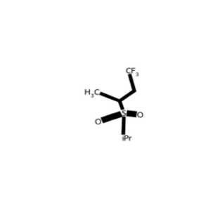 CC(C)S(=O)(=O)C(C)CC(F)(F)F